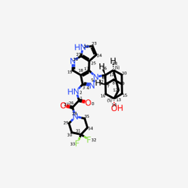 O=C(Nc1nn([C@H]2[C@@H]3CC4C[C@H]2C[C@@](O)(C4)C3)c2c1cnc1[nH]ccc12)C(=O)N1CCC(F)(F)CC1